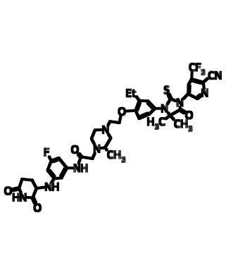 CCc1cc(N2C(=S)N(c3cnc(C#N)c(C(F)(F)F)c3)C(=O)C2(C)C)ccc1OCCN1CCN(CC(=O)Nc2cc(F)cc(NC3CCC(=O)NC3=O)c2)[C@H](C)C1